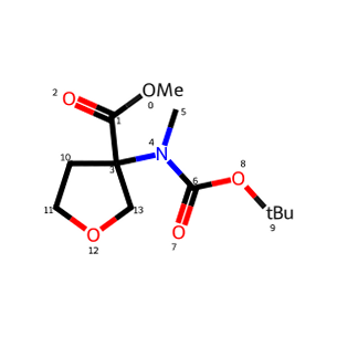 COC(=O)C1(N(C)C(=O)OC(C)(C)C)CCOC1